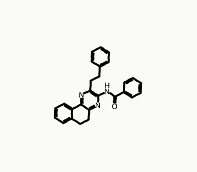 O=C(Nc1nc2c(nc1CCc1ccccc1)-c1ccccc1CC2)c1ccccc1